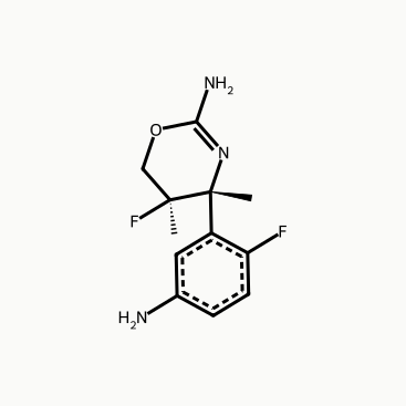 C[C@]1(F)COC(N)=N[C@]1(C)c1cc(N)ccc1F